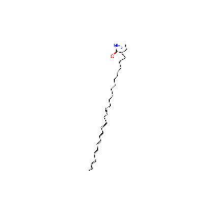 CC/C=C/C=C/C=C/C=C/C=C/C/C=C/CCCCCCCCCCCC(CC)C(N)=O